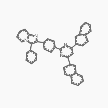 c1ccc(-c2c(-c3ccc(-c4nc(-c5ccc6ccccc6c5)cc(-c5ccc6ccccc6c5)n4)cc3)nc3ccccn23)cc1